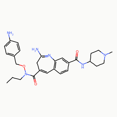 CCCN(OCc1ccc(N)cc1)C(=O)C1=Cc2ccc(C(=O)NC3CCN(C)CC3)cc2N=C(N)C1